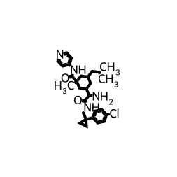 CC(C)CC1CC(C(N)C(=O)NCC2(c3ccc(Cl)cc3)CC2)CC(C)(C(=O)Nc2ccncc2)C1